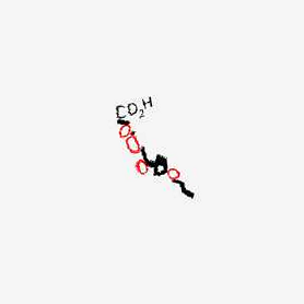 C=CCCOc1ccc(C(=O)COCOCCC(=O)O)cc1